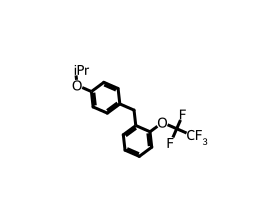 CC(C)Oc1ccc(Cc2ccccc2OC(F)(F)C(F)(F)F)cc1